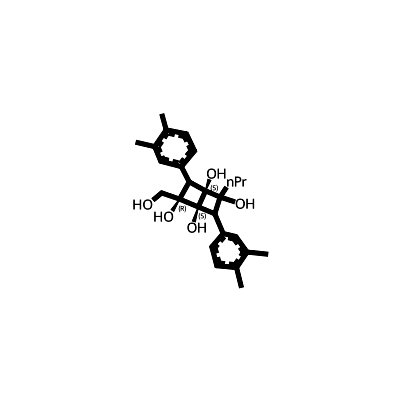 CCCC1(O)C(c2ccc(C)c(C)c2)[C@]2(O)[C@](O)(CO)C(c3ccc(C)c(C)c3)[C@]12O